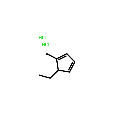 CCC1C=CC=[C]1[Ti].Cl.Cl